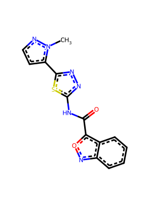 Cn1nccc1-c1nnc(NC(=O)c2onc3ccccc23)s1